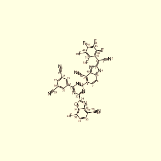 N#C/C(=C1\N=c2ccc(-c3nc(-c4cc(C#N)cc(C#N)c4)nc(-c4nc5c(C#N)ccc(F)c5o4)n3)c(C#N)c2=N1)c1c(F)c(F)c(F)c(F)c1F